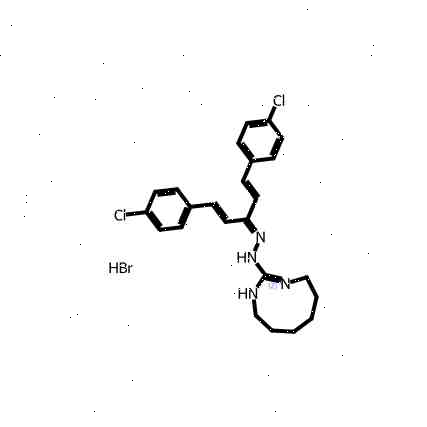 Br.Clc1ccc(C=CC(C=Cc2ccc(Cl)cc2)=NN/C2=N\CCCCCCN2)cc1